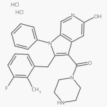 Cc1c(F)cccc1Cc1c(C(=O)N2CCNCC2)c2cc(O)ncc2n1-c1ccccc1.Cl.Cl